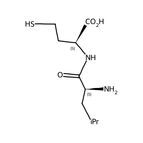 CC(C)C[C@H](N)C(=O)N[C@@H](CCS)C(=O)O